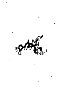 CCOc1nc(N2CCNCC2)c2sc3nc(-c4ccc(OC)c(OC)c4)cc(C)c3c2n1